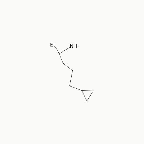 CCC([NH])CCCC1CC1